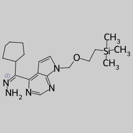 C[Si](C)(C)CCOCn1ccc2c(/C(=N\N)C3CCCCC3)ncnc21